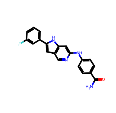 NC(=O)c1ccc(Nc2cc3[nH]c(-c4cccc(F)c4)cc3cn2)cc1